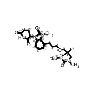 CN(CC(F)(F)COCCCc1cccc2c1n(C)c(=O)n2C1CCC(=O)NC1=O)C(=O)OC(C)(C)C